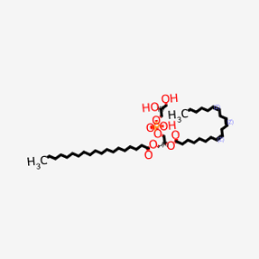 CCCCC/C=C\C/C=C\C/C=C\CCCCCCC(=O)O[C@H](COC(=O)CCCCCCCCCCCCCCCCCC)COP(=O)(O)OC[C@@H](O)CO